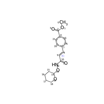 COC(=O)c1ccc(/C=C/C(=O)NOC2CCCCO2)cc1